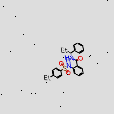 CCc1ccc(S(=O)(=O)Nc2ccccc2C(=O)N[C@@H](CC)c2ccccc2)cc1